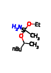 CCCCC(C)O[Si](C)(N)OCC